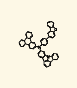 c1ccc2c(c1)oc1ccc(-c3ccc(N(c4ccc5c6ccccc6c6ccccc6c5c4)c4ccc5c6cccc7c8ccccc8n(c5c4)c76)cc3)cc12